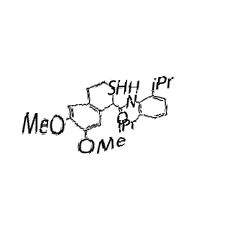 COc1cc2c(cc1OC)C(C(=O)Nc1c(C(C)C)cccc1C(C)C)[SH]CC2